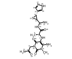 C[C@H](Nc1c(N)n(C)c(=O)n(CC(N)=O)c1=O)C(=O)NC(N)C1S[C@@H]1c1cn[nH]c1